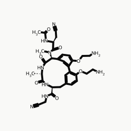 CC(=O)N[C@@H](CC#N)C(=O)N(C)[C@@H]1C(=O)N[C@@H](C)C(=O)N[C@H](C(=O)NCC#N)Cc2ccc(OCCN)c(c2)-c2cc1ccc2OCCN